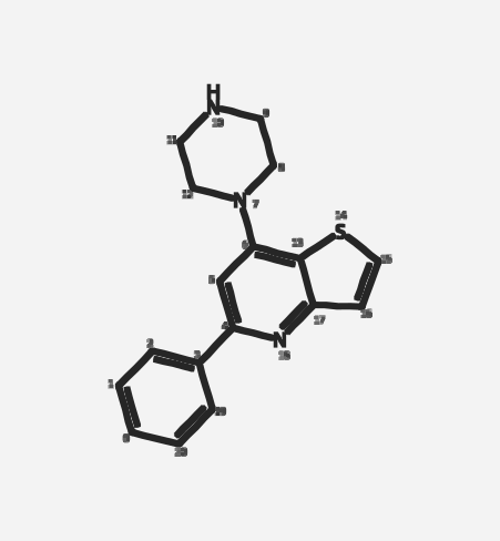 c1ccc(-c2cc(N3CCNCC3)c3sccc3n2)cc1